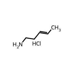 CC=CCCN.Cl